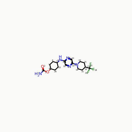 NC(=O)OC1CCC(Nc2cnc(N3CCC(C(F)(F)F)CC3)cn2)CC1